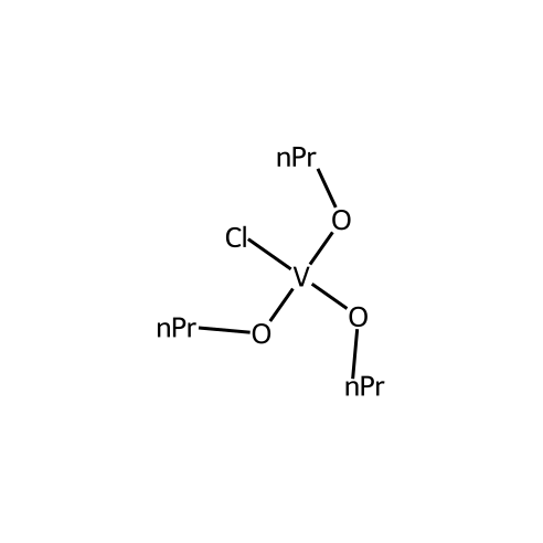 CCC[O][V]([Cl])([O]CCC)[O]CCC